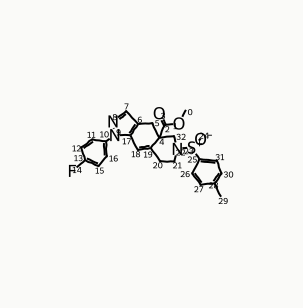 COC(=O)C12Cc3cnn(-c4ccc(F)cc4)c3C=C1CCN([S+]([O-])c1ccc(C)cc1)C2